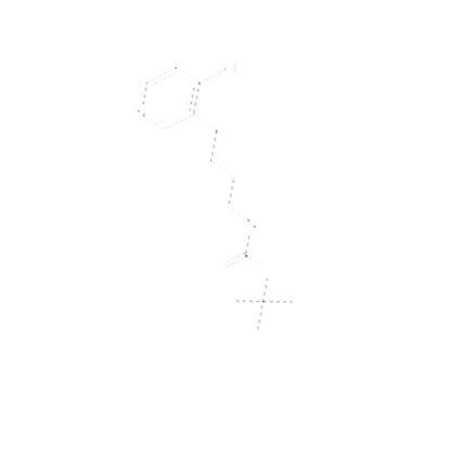 CC(C)(C)OC(=O)NCCCCc1cnccc1Cl